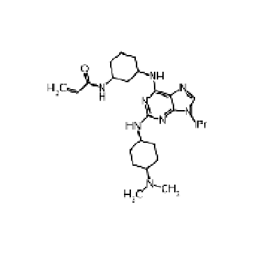 C=CC(=O)NC1CCCC(Nc2nc(NC3CCC(N(C)C)CC3)nc3c2ncn3C(C)C)C1